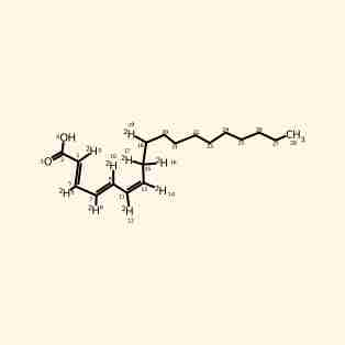 [2H]C(C(=O)O)=C([2H])C([2H])=C([2H])C([2H])=C([2H])C([2H])([2H])C([2H])CCCCCCCCC